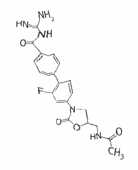 CC(=O)NCC1CN(c2ccc(-c3ccc(C(=O)NC(=N)N)cc3)c(F)c2)C(=O)O1